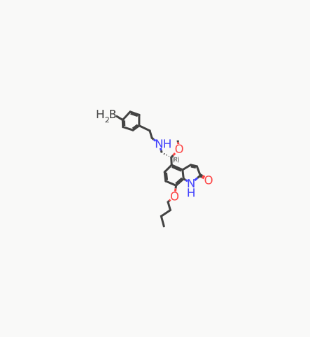 Bc1ccc(CCNC[C@H](OC)c2ccc(OCCCC)c3[nH]c(=O)ccc23)cc1